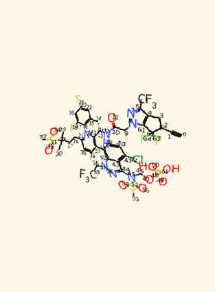 C#C[C@@H]1Cc2c(C(F)(F)F)nn(CC(=O)N[C@@H](Cc3cc(F)cc(F)c3)c3nc(CCC(C)(C)S(C)(=O)=O)ccc3-c3ccc(Cl)c4c(N(COP(=O)(O)O)S(C)(=O)=O)nn(CC(F)(F)F)c34)c2C1(F)F